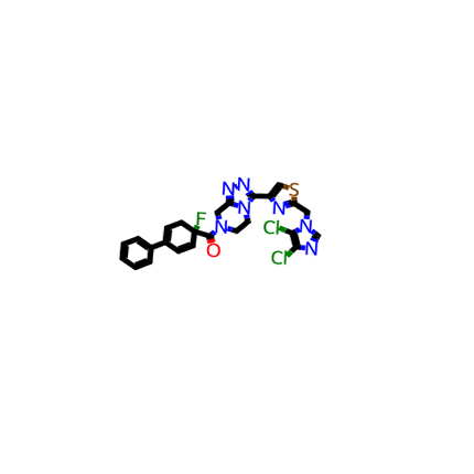 O=C(N1CCn2c(nnc2-c2csc(Cn3cnc(Cl)c3Cl)n2)C1)C1(F)C=CC(c2ccccc2)=CC1